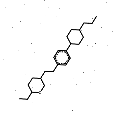 CCCC1CCC(c2ccc(CCC3CCC(CC)OC3)cc2)CC1